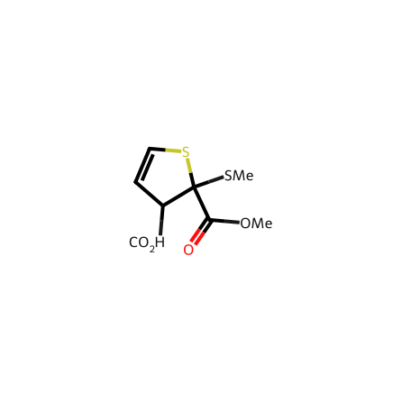 COC(=O)C1(SC)SC=CC1C(=O)O